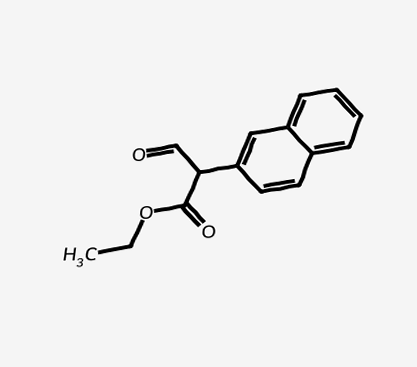 CCOC(=O)C(C=O)c1ccc2ccccc2c1